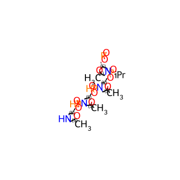 CC(C)P(=O)(OC[C@@H]1CN([PH](=O)OC[C@@H]2CN([PH](=O)OC[C@@H]3CNC[C@H](C)O3)C[C@H](C)O2)C[C@H](C)O1)N1C[C@@H](COP=O)O[C@@H](C)C1